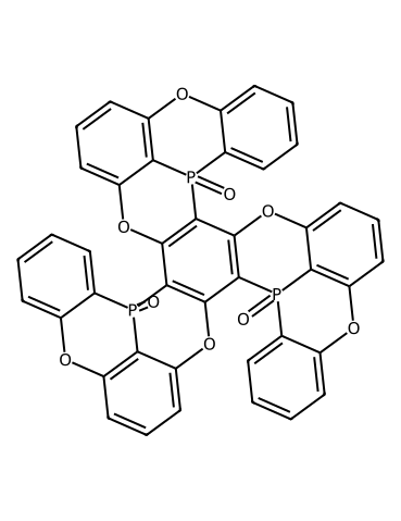 O=P12c3ccccc3Oc3cccc(c31)Oc1c2c2c(c3c1P1(=O)c4ccccc4Oc4cccc(c41)O3)P1(=O)c3ccccc3Oc3cccc(c31)O2